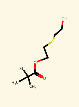 CCC(C)(C)C(=O)OCCSCCO